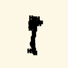 Cc1ncsc1-c1ccc([C@H](C)NC(=O)[C@@H]2C[C@@H](O)CN2C(=O)[C@@H](NC(=O)COCCOCCOCCOCCOCCOCCOc2ccc(-c3ccc4c(c3)[nH]c3ccncc34)cn2)C(C)(C)C)cc1